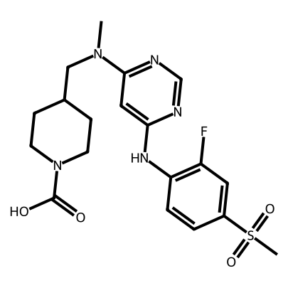 CN(CC1CCN(C(=O)O)CC1)c1cc(Nc2ccc(S(C)(=O)=O)cc2F)ncn1